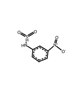 O=[N+]([O-])c1c[c]cc(N[SH](=O)=O)c1